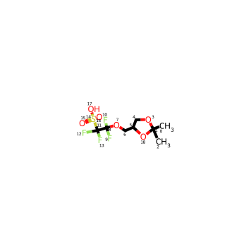 CC1(C)OCC(COC(F)(F)C(F)(F)S(=O)(=O)O)O1